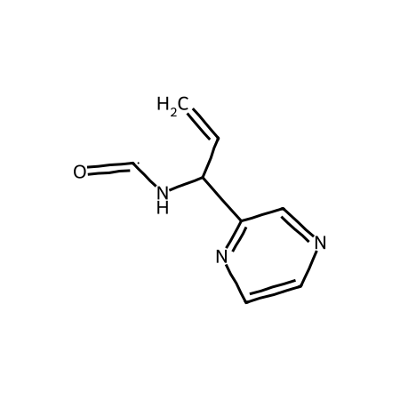 C=CC(N[C]=O)c1cnccn1